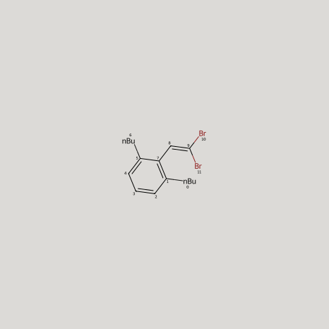 CCCCc1cccc(CCCC)c1C=C(Br)Br